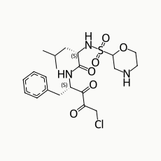 CC(C)C[C@H](NS(=O)(=O)C1CNCCO1)C(=O)N[C@@H](Cc1ccccc1)C(=O)C(=O)CCl